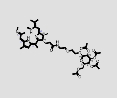 C/N=C(C)/C=c1\[nH]/c(=C(/C)C2=N/C(=C\C(NC)=C(C)C)[C@@H](C)[C@@H]2CCC(=O)NCCOCCO[C@@H]2O[C@H](COC(C)=O)[C@@H](OC(C)=O)[C@H](OC(C)=O)[C@H]2OC(C)=O)cc1C